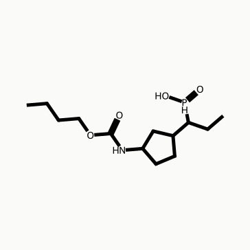 CCCCOC(=O)NC1CCC(C(CC)[PH](=O)O)C1